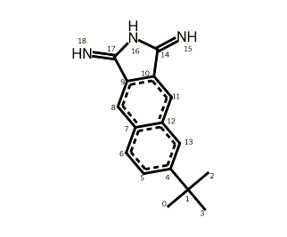 CC(C)(C)c1ccc2cc3c(cc2c1)C(=N)NC3=N